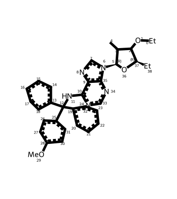 CCOC1C(C)[C@H](n2cnc3c(NC(c4ccccc4)(c4ccccc4)c4ccc(OC)cc4)ncnc32)O[C@@H]1CC